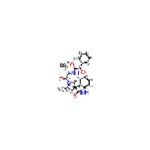 CC(C)(C)C[C@H](NC(=O)C(=O)c1ccccc1F)C(=O)N1C[C@]2(C[C@H]1C#N)C(=O)Nc1ccccc12